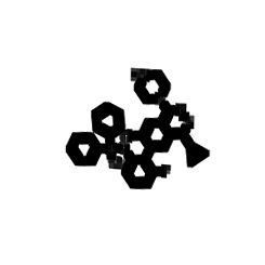 CC(C)(C)[Si](Oc1cccc(F)c1-c1cc2c(C3CC3)nnc(N3CCNCC3)c2cc1Cl)(c1ccccc1)c1ccccc1